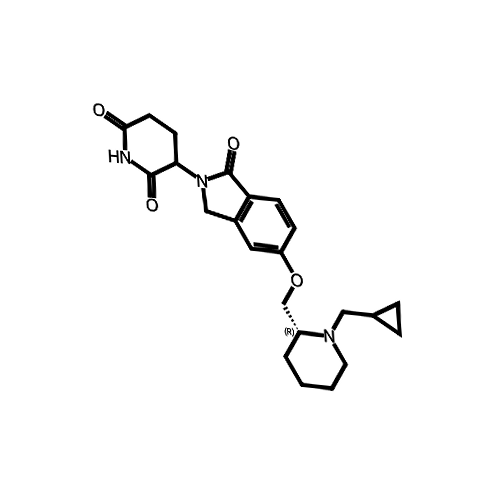 O=C1CCC(N2Cc3cc(OC[C@H]4CCCCN4CC4CC4)ccc3C2=O)C(=O)N1